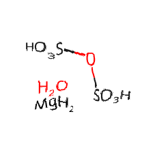 O.O=S(=O)(O)OS(=O)(=O)O.[MgH2]